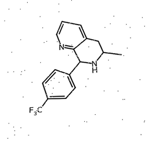 CC1Cc2cccnc2C(c2ccc(C(F)(F)F)cc2)N1